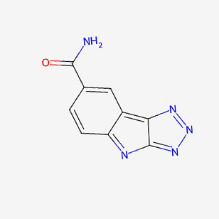 NC(=O)c1ccc2c(c1)=C1N=NN=C1N=2